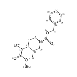 CCN(C(=O)OC(C)(C)C)C1CCN(C(=O)OCc2ccccc2)CC1C